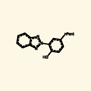 CCCCCc1ccc(O)c(-n2nc3ccccc3n2)c1